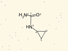 NC(=O)NC1CC1